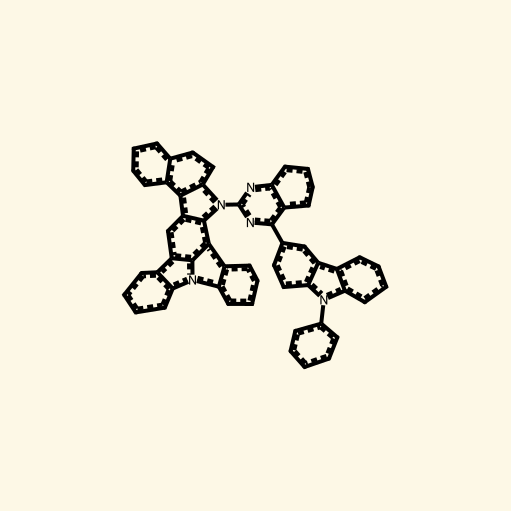 c1ccc(-n2c3ccccc3c3cc(-c4nc(-n5c6ccc7ccccc7c6c6cc7c8ccccc8n8c9ccccc9c(c65)c78)nc5ccccc45)ccc32)cc1